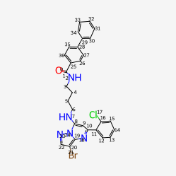 O=C(NCCCCNc1cc(-c2ccccc2Cl)nc2c(Br)cnn12)c1ccc(-c2ccccc2)cc1